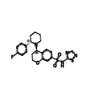 O=S(=O)(Nc1ncns1)c1ccc2c(c1)OCC[C@H]2N1CCCC[C@H]1c1ccc(F)cc1